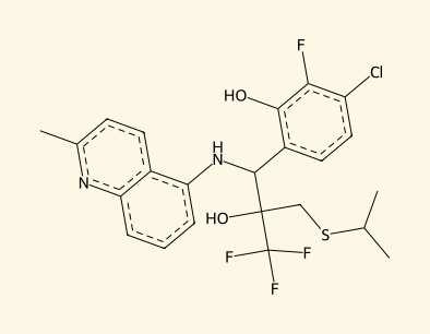 Cc1ccc2c(NC(c3ccc(Cl)c(F)c3O)C(O)(CSC(C)C)C(F)(F)F)cccc2n1